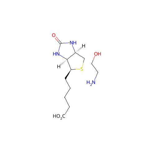 NCCO.O=C(O)CCCC[C@@H]1SC[C@@H]2NC(=O)N[C@@H]21